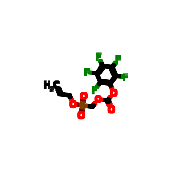 C=CCOS(=O)(=O)COC(=O)Oc1c(F)c(F)c(F)c(F)c1F